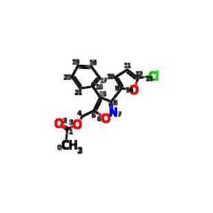 CC(=O)OCc1onc(-c2ccc(Cl)o2)c1-c1ccccc1